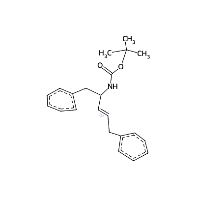 CC(C)(C)OC(=O)NC(/C=C/Cc1ccccc1)Cc1ccccc1